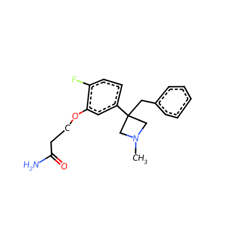 CN1CC(Cc2ccccc2)(c2ccc(F)c(OCCC(N)=O)c2)C1